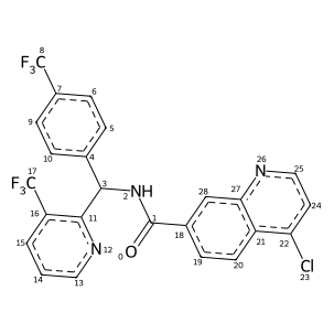 O=C(NC(c1ccc(C(F)(F)F)cc1)c1ncccc1C(F)(F)F)c1ccc2c(Cl)ccnc2c1